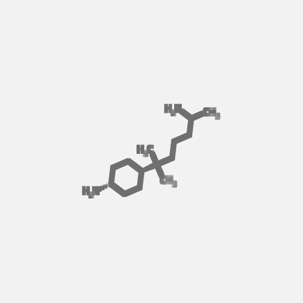 CC(N)CCCC(C)(C)[C@H]1CC[C@H](N)CC1